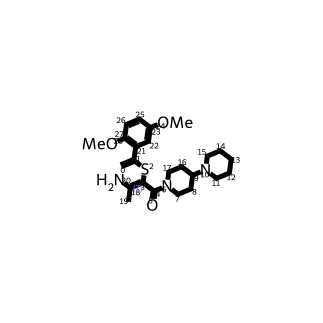 C=C(S/C(C(=O)N1CCC(N2CCCCC2)CC1)=C(/C)N)c1cc(OC)ccc1OC